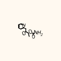 CC(OC(N)=O)C(=O)Cc1ccccn1